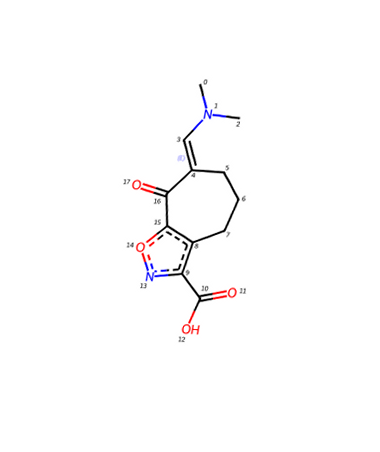 CN(C)/C=C1\CCCc2c(C(=O)O)noc2C1=O